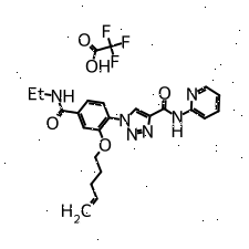 C=CCCCOc1cc(C(=O)NCC)ccc1-n1cc(C(=O)Nc2ccccn2)nn1.O=C(O)C(F)(F)F